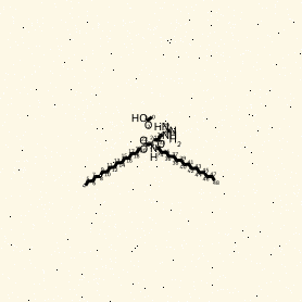 CC(=O)O.CCCCCCCCCCCCCCCCOC(=O)[C@H](CCCNC(=N)N)NC(=O)CCCCCCCCCCCCCCC